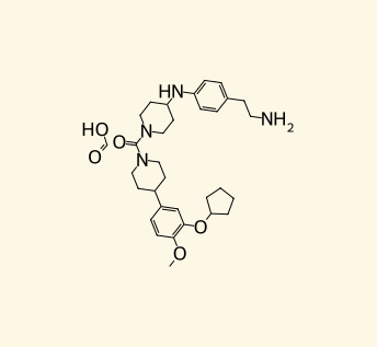 COc1ccc(C2CCN(C(=O)N3CCC(Nc4ccc(CCN)cc4)CC3)CC2)cc1OC1CCCC1.O=CO